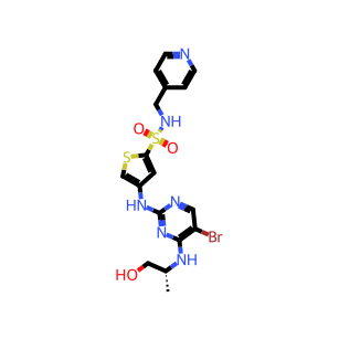 C[C@H](CO)Nc1nc(Nc2csc(S(=O)(=O)NCc3ccncc3)c2)ncc1Br